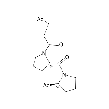 CC(=O)CCC(=O)N1CCC[C@H]1C(=O)N1CCC[C@H]1C(C)=O